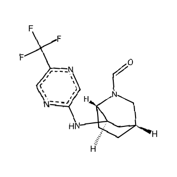 O=CN1C[C@@H]2CC[C@H]1[C@H](Nc1cnc(C(F)(F)F)cn1)C2